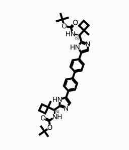 CC(C)(C)OC(=O)N[C@H](c1ncc(-c2ccc(-c3ccc(-c4cnc([C@@H](NC(=O)OC(C)(C)C)C5(C)CCC5)[nH]4)cc3)cc2)[nH]1)C1(C)CCC1